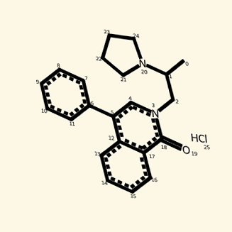 CC(Cn1cc(-c2ccccc2)c2ccccc2c1=O)N1CCCC1.Cl